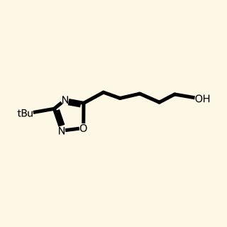 CC(C)(C)c1noc(CCCCCO)n1